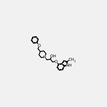 Cc1cc2c(OCC(O)CN3CCC(COc4ccccc4)CC3)cccc2[nH]1